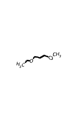 C[CH]OCCCOC